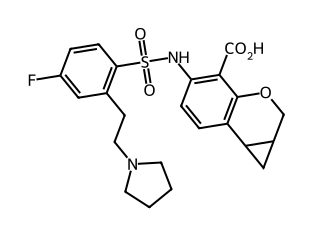 O=C(O)c1c(NS(=O)(=O)c2ccc(F)cc2CCN2CCCC2)ccc2c1OCC1CC21